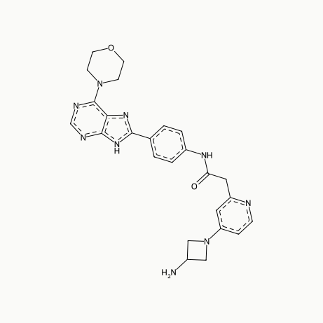 NC1CN(c2ccnc(CC(=O)Nc3ccc(-c4nc5c(N6CCOCC6)ncnc5[nH]4)cc3)c2)C1